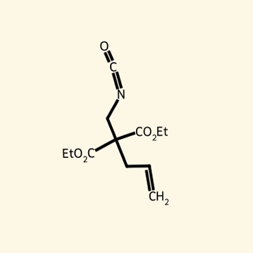 C=CCC(CN=C=O)(C(=O)OCC)C(=O)OCC